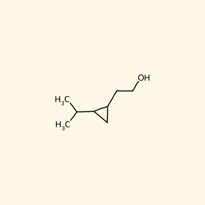 CC(C)C1CC1CCO